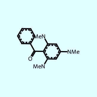 CNc1cc(NC)c(C(=O)c2ccccc2)c(NC)c1